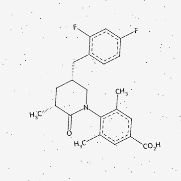 Cc1cc(C(=O)O)cc(C)c1N1C[C@@H](Cc2ccc(F)cc2F)C[C@@H](C)C1=O